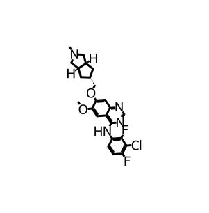 COc1cc2c(Nc3ccc(F)c(Cl)c3F)ncnc2cc1OC[C@@H]1C[C@@H]2CN(C)C[C@@H]2C1